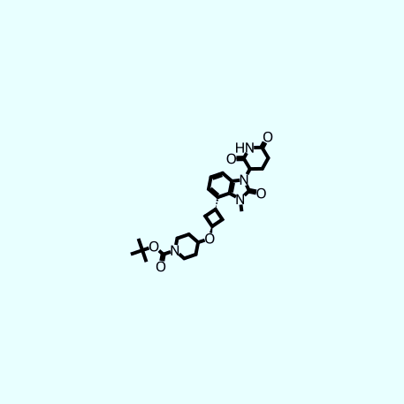 Cn1c(=O)n(C2CCC(=O)NC2=O)c2cccc([C@H]3C[C@H](OC4CCN(C(=O)OC(C)(C)C)CC4)C3)c21